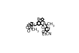 CCOc1cc(C(C)N2CC3(CCC3)c3c(Br)cc(Cn4ccnc4N(C)C(=O)OC(C)(C)C)cc3C2=O)ncc1C#N